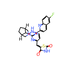 O=C1NC(=O)/C(=C/c2ccnc(N3C[C@H]4CC[C@@H](C3)C4CNCc3ccc4cc(F)ccc4n3)n2)S1